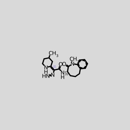 CC1CCN/C(=C(\N=N)C(=O)N[C@H]2CCCc3ccccc3N(C)C2=O)C1